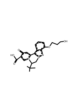 CC(C)(C)C1Cn2nc3c(OCCCO)cccc3c2-c2cc(=O)c(C(=O)O)cn21